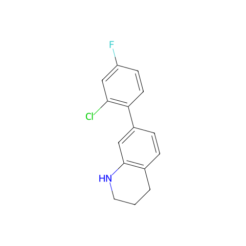 Fc1ccc(-c2ccc3c(c2)NCCC3)c(Cl)c1